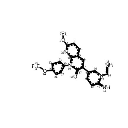 CCOc1ccc2cc(-c3ccc(=N)n(C=N)c3)c(=O)n(-c3ccc(OC(F)(F)F)cc3)c2n1